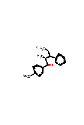 CCOC(=O)CC(c1ccccc1)C(C)C(=O)c1ccc(OC)cc1